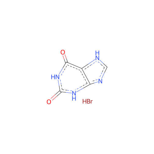 Br.O=c1[nH]c(=O)c2[nH]cnc2[nH]1